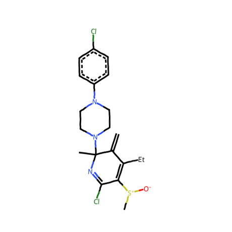 C=C1C(CC)=C([S+](C)[O-])C(Cl)=NC1(C)N1CCN(c2ccc(Cl)cc2)CC1